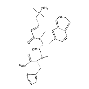 CNC(=O)[C@@H](Cc1cccs1)N(C)C(=O)[C@@H](Cc1ccc2ccccc2c1)N(C)C(=O)/C=C/CC(C)(C)N